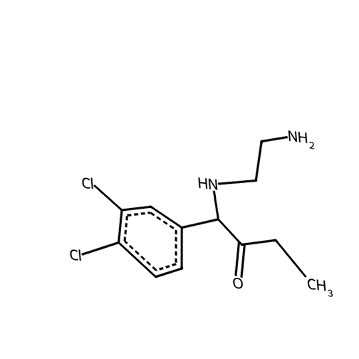 CCC(=O)C(NCCN)c1ccc(Cl)c(Cl)c1